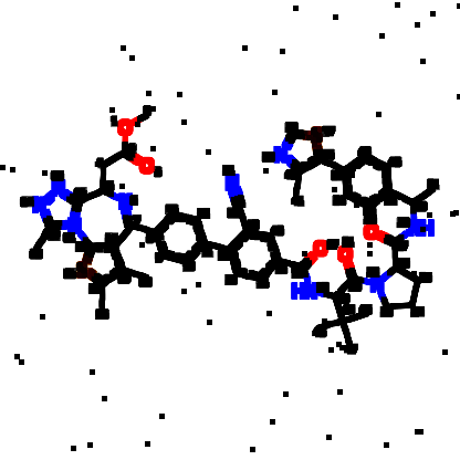 COC(=O)CC1N=C(c2ccc(-c3ccc(C(=O)NC(C(=O)N4CCCC4C(=O)NC(C)c4ccc(-c5scnc5C)cc4)C(C)(C)C)cc3C#N)cc2)c2c(sc(C)c2C)-n2c(C)nnc21